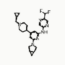 FC(F)c1cnc(Nc2cc(C3=CCN(CC4CC4)CC3)cc(N3CC4CC4C3)n2)cn1